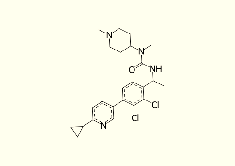 CC(NC(=O)N(C)C1CCN(C)CC1)c1ccc(-c2ccc(C3CC3)nc2)c(Cl)c1Cl